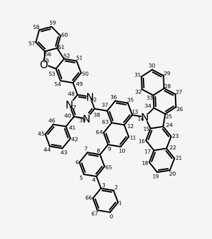 c1ccc(-c2cccc(-c3ccc4c(-n5c6cc7ccccc7cc6c6ccc7ccccc7c65)ccc(-c5nc(-c6ccccc6)nc(-c6ccc7c(c6)oc6ccccc67)n5)c4c3)c2)cc1